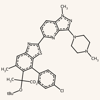 Cc1cc2nc(-c3ccc4c(n3)c(N3CCN(C)CC3)nn4C)sc2c(-c2ccc(Cl)cc2)c1C(C)(OC(C)(C)C)C(=O)O